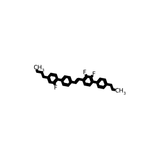 CCCCc1ccc(-c2ccc(/C=C/c3ccc(-c4ccc(CCC)cc4)c(F)c3F)cc2)c(F)c1